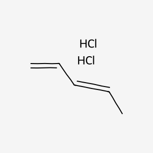 C=CC=CC.Cl.Cl